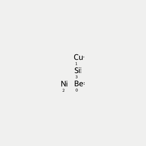 [Be].[Cu].[Ni].[Si]